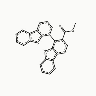 COC(=O)c1ccc2c(oc3ccccc32)c1-c1cccc2c1sc1ccccc12